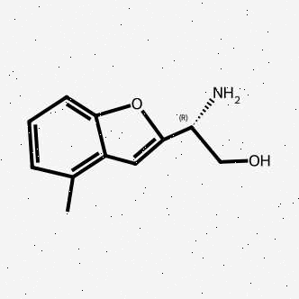 Cc1cccc2oc([C@H](N)CO)cc12